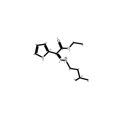 CCOC(=O)/C(=N\NCCC(C)C)c1cccs1